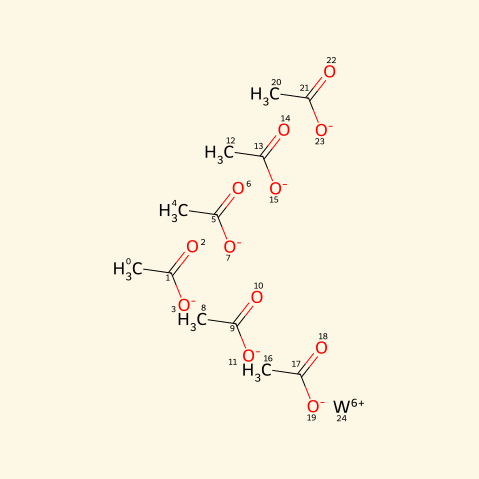 CC(=O)[O-].CC(=O)[O-].CC(=O)[O-].CC(=O)[O-].CC(=O)[O-].CC(=O)[O-].[W+6]